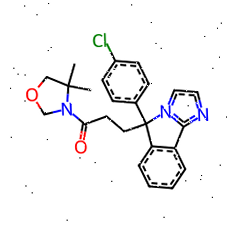 CC1(C)COCN1C(=O)CCC1(c2ccc(Cl)cc2)c2ccccc2-c2nccn21